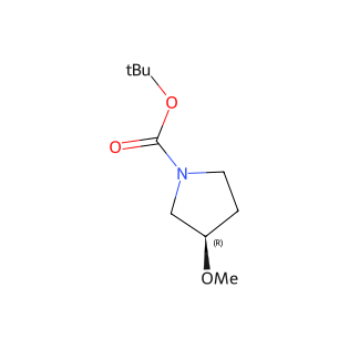 [CH2]O[C@@H]1CCN(C(=O)OC(C)(C)C)C1